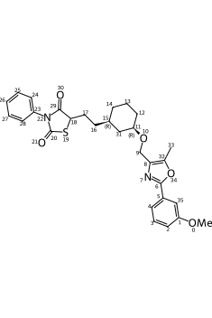 COc1cccc(-c2nc(CO[C@@H]3CCC[C@H](CCC4SC(=O)N(c5ccccc5)C4=O)C3)c(C)o2)c1